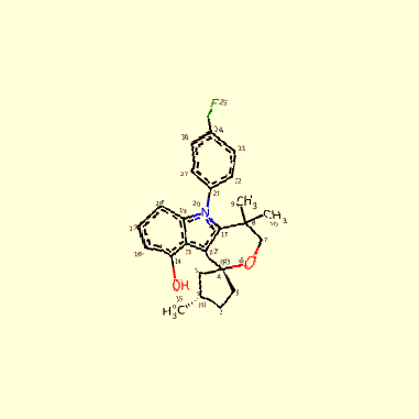 C[C@H]1CC[C@]2(C1)OCC(C)(C)c1c2c2c(O)cccc2n1-c1ccc(F)cc1